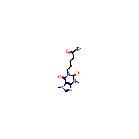 CC(C)C(=O)CCCCn1c(=O)c2c(ncn2C)n(C)c1=O